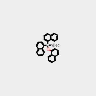 CCCCCCCCCC[Si](Oc1cccc2ccccc12)(c1cccc2ccccc12)c1cccc2ccccc12